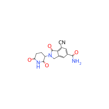 N#Cc1cc(C(N)=O)cc2c1C(=O)N(C1CCC(=O)NC1=O)C2